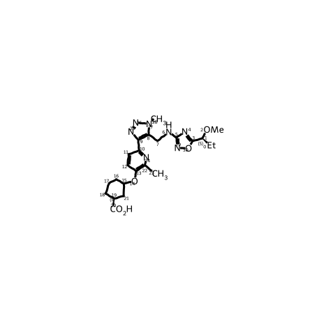 CC[C@H](OC)c1nc(NCc2c(-c3ccc(OC4CCC[C@H](C(=O)O)C4)c(C)n3)nnn2C)no1